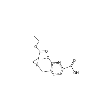 CCOC(=O)C1CN1Cc1ccc(C(=O)O)nc1OC